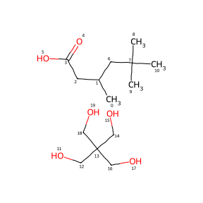 CC(CC(=O)O)CC(C)(C)C.OCC(CO)(CO)CO